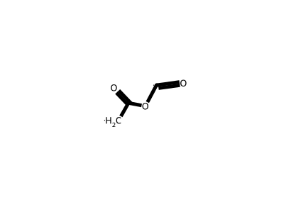 [CH2]C(=O)O[C]=O